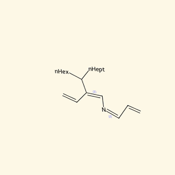 C=C/C=N\C=C(/C=C)C(CCCCCC)CCCCCCC